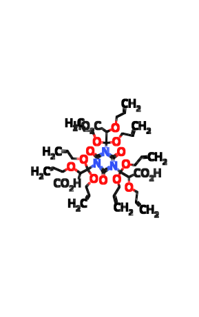 C=CCOC(C(=O)O)C(OCC=C)(OCC=C)n1c(=O)n(C(OCC=C)(OCC=C)C(OCC=C)C(=O)O)c(=O)n(C(OCC=C)(OCC=C)C(OCC=C)C(=O)O)c1=O